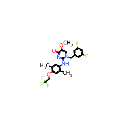 COc1cn(Cc2cc(F)cc(F)c2)c(Nc2cc(C)c(OCC(F)(F)F)cc2C)nc1=O